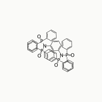 O=P(c1ccccc1)(c1ccccc1)N(c1cccc(N(P(=O)(c2ccccc2)c2ccccc2)P(=O)(c2ccccc2)c2ccccc2)c1)P(=O)(c1ccccc1)c1ccccc1